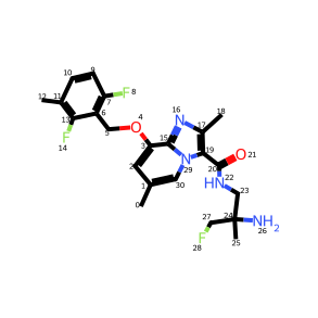 Cc1cc(OCc2c(F)ccc(C)c2F)c2nc(C)c(C(=O)NCC(C)(N)CF)n2c1